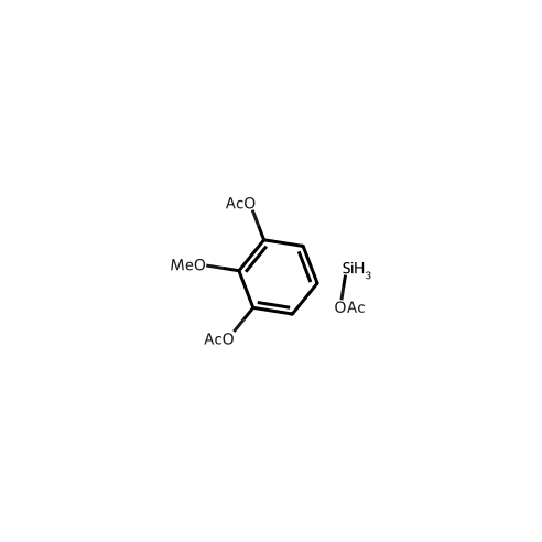 CC(=O)O[SiH3].COc1c(OC(C)=O)cccc1OC(C)=O